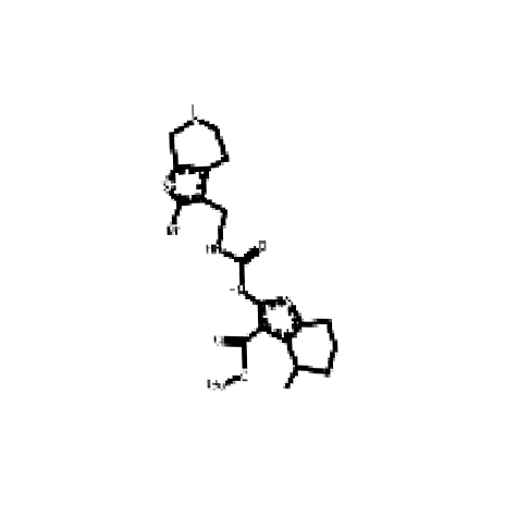 CC1CCCc2sc(NC(=O)NCc3c(Br)sc4c3CCNC4)c(C(=O)OC(C)(C)C)c21